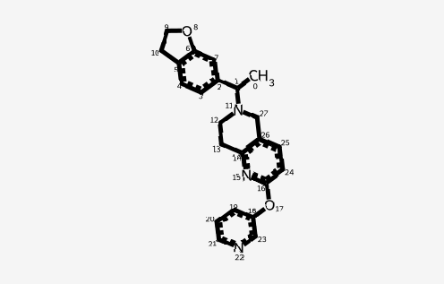 CC(c1ccc2c(c1)OCC2)N1CCc2nc(Oc3cccnc3)ccc2C1